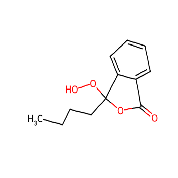 CCCCC1(OO)OC(=O)c2ccccc21